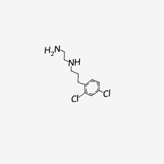 NCCNCCCc1ccc(Cl)cc1Cl